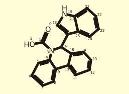 O=C(O)N1c2ccccc2-c2ccccc2C1c1c[nH]c2ccccc12